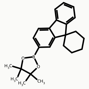 CC1(C)OB(c2ccc3c(c2)C2(CCCCC2)c2ccccc2-3)OC1(C)C